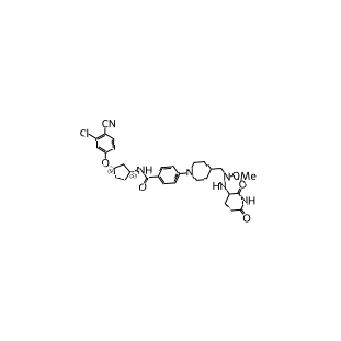 CON(CC1CCN(c2ccc(C(=O)N[C@H]3CC[C@H](Oc4ccc(C#N)c(Cl)c4)C3)cc2)CC1)NC1CCC(=O)NC1=O